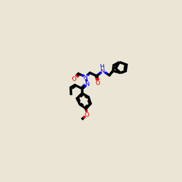 C/C=C\C(=N/N(C=O)CC(=O)NCC1CC2C=CC1C2)c1ccc(OC)cc1